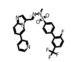 CN(/N=C/c1cnc2ccc(-c3cccnc3)cn12)S(=O)(=O)c1ccc(-c2cc(C(F)(F)F)ccc2F)cc1